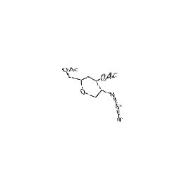 CC(=O)OCC1CC(OC(C)=O)C(N=[N+]=[N-])CO1